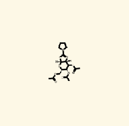 CC(=O)OC[C@H]1O[C@@H]2SC(N3CCCC3)=N[C@@H]2[C@@H](OC(C)=O)[C@@H]1OC(C)=O